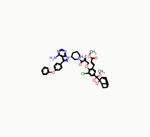 C=C(COc1c(Cl)cc(C2(OC)OOC23C2CC4CC(C2)CC3C4)cc1/C=C/C(=O)OC)C(=O)N1CCC[C@@H](n2nc(-c3ccc(Oc4ccccc4)cc3)c3c(N)ncnc32)C1